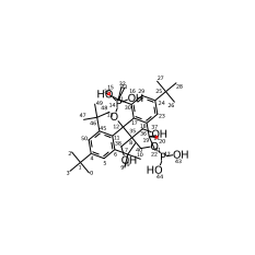 CC(C)(C)c1cc(C(C)(C)C)c(C(OP(O)O)(c2c(C(C)(C)C)cc(C(C)(C)C)cc2C(C)(C)C)C(CO)(CO)COP(O)O)c(C(C)(C)C)c1